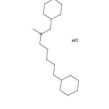 CN(CCCCCC1CCCCC1)CC1CCCCC1.Cl